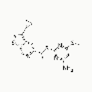 CSc1cc(N)nc(SC(C)c2cc3c(C4CC4)csc3cn2)n1